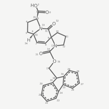 O=C(O)[C@@H]1CC[C@H]2C=CC3(CCCN3C(=O)OCC3c4ccccc4-c4ccccc43)C(=O)N21